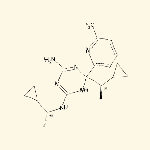 C[C@H](C1CC1)C1(c2cccc(C(F)(F)F)n2)N=C(N)N=C(N[C@H](C)C2CC2)N1